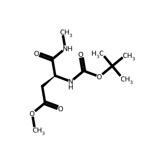 CNC(=O)[C@H](CC(=O)OC)NC(=O)OC(C)(C)C